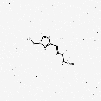 CC(C)COCCC=Cc1ccn(CC(C)C)n1